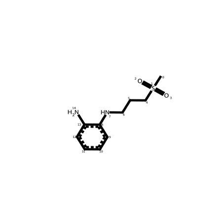 CS(=O)(=O)CCCNc1ccccc1N